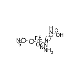 Nc1nc(O[C@H](c2ccc(-c3ccc4ncsc4c3)cc2)C(F)(F)F)cc(N2CCC3(CC2)CN[C@H](C(=O)O)C3)n1